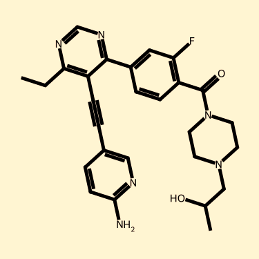 CCc1ncnc(-c2ccc(C(=O)N3CCN(CC(C)O)CC3)c(F)c2)c1C#Cc1ccc(N)nc1